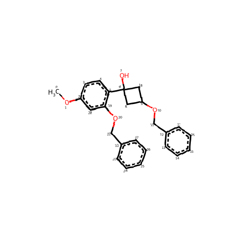 COc1ccc(C2(O)CC(OCc3ccccc3)C2)c(OCc2ccccc2)c1